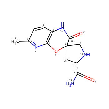 Cc1ccc2c(n1)OC1(CN[C@H](C(N)=O)C1)C(=O)N2